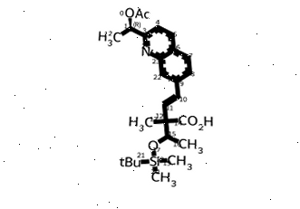 CC(=O)O[C@H](C)c1ccc2ccc(C=CC(C)(C(=O)O)C(C)O[Si](C)(C)C(C)(C)C)cc2n1